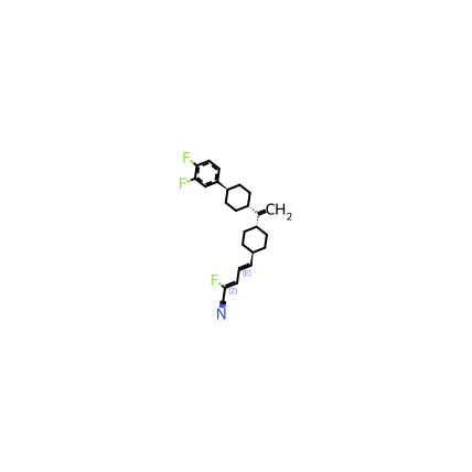 C=C([C@H]1CC[C@H](/C=C/C=C(\F)C#N)CC1)[C@H]1CC[C@H](c2ccc(F)c(F)c2)CC1